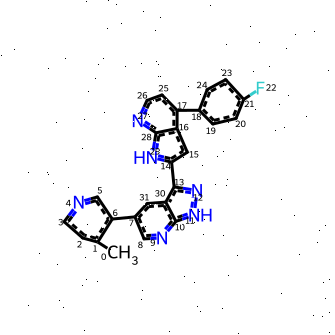 Cc1ccncc1-c1cnc2[nH]nc(-c3cc4c(-c5ccc(F)cc5)ccnc4[nH]3)c2c1